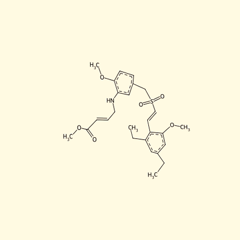 CCc1cc(CC)c(/C=C/S(=O)(=O)Cc2ccc(OC)c(NC/C=C/C(=O)OC)c2)c(OC)c1